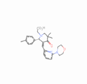 Cc1ccc(C2C(=Cc3cccc(N4CCOCC4)n3)C(=O)C(C)(C)CN2CC(=O)O)cc1